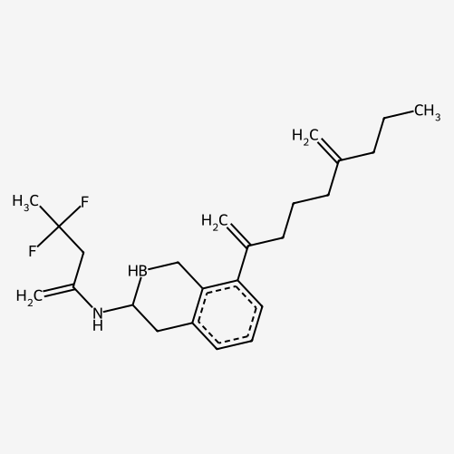 C=C(CCC)CCCC(=C)c1cccc2c1CBC(NC(=C)CC(C)(F)F)C2